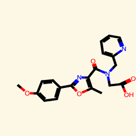 COc1ccc(-c2nc(C(=O)N(CC(=O)O)Cc3ccccn3)c(C)o2)cc1